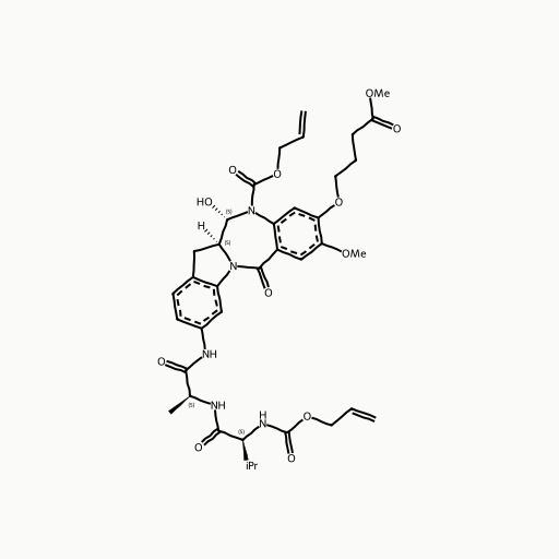 C=CCOC(=O)N[C@H](C(=O)N[C@@H](C)C(=O)Nc1ccc2c(c1)N1C(=O)c3cc(OC)c(OCCCC(=O)OC)cc3N(C(=O)OCC=C)[C@@H](O)[C@@H]1C2)C(C)C